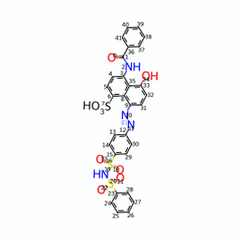 O=C(Nc1ccc(S(=O)(=O)O)c2c(/N=N/c3ccc(S(=O)(=O)NS(=O)(=O)c4ccccc4)cc3)ccc(O)c12)c1ccccc1